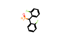 O=[PH2]C(c1ccccc1F)c1ccccc1F